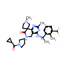 Cc1nc(N[C@H](C)c2cccc(C(F)F)c2C)c2c(n1)C1(CCN(C)C1)C(=O)N([C@@H]1CCN(C(=O)C3CC3)C1)C2